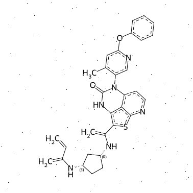 C=CC(=C)N[C@H]1CC[C@@H](NC(=C)c2sc3nccc4c3c2NC(=O)N4c2cnc(Oc3ccccc3)cc2C)C1